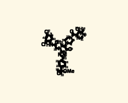 CCc1c(N2CCN(C(=O)c3ncnc(C)c3O)CC2)c(=O)n2nc(-c3ccc(C4(OC)COC4)cc3)nc2n1CC(=O)Nc1ccc(C(F)(F)F)cc1Cl